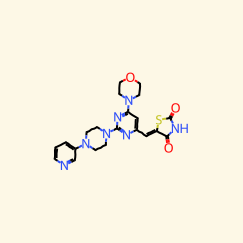 O=C1NC(=O)/C(=C/c2cc(N3CCOCC3)nc(N3CCN(c4cccnc4)CC3)n2)S1